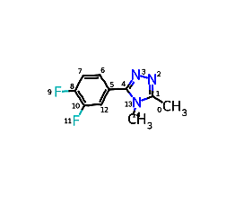 Cc1nnc(-c2ccc(F)c(F)c2)n1C